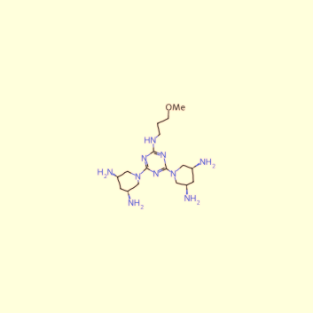 COCCCNc1nc(N2C[C@H](N)C[C@H](N)C2)nc(N2C[C@H](N)C[C@H](N)C2)n1